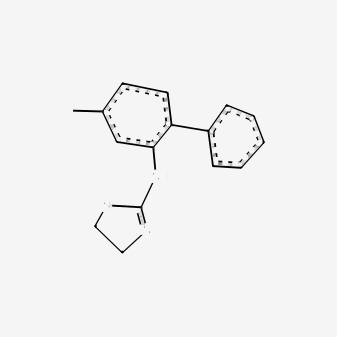 Cc1ccc(-c2ccccc2)c(NC2=NCCN2)c1